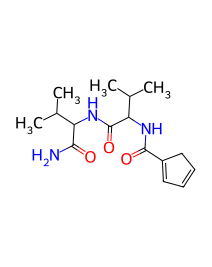 CC(C)C(NC(=O)C(NC(=O)C1=CC=CC1)C(C)C)C(N)=O